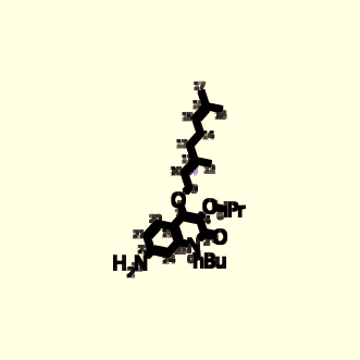 CCCCn1c(=O)c(OC(C)C)c(OC/C=C(\C)CCC=C(C)C)c2ccc(N)cc21